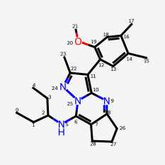 CCC(CC)Nc1c2c(nc3c(-c4cc(C)c(C)cc4OC)c(C)nn13)CCC2